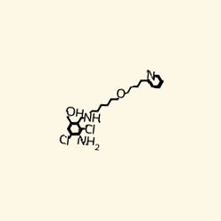 Nc1c(Cl)cc(CO)c(CNCCCCCCOCCCCc2ccccn2)c1Cl